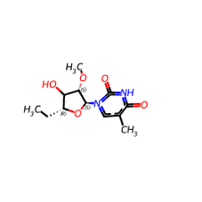 CC[C@H]1O[C@H](n2cc(C)c(=O)[nH]c2=O)[C@@H](OC)C1O